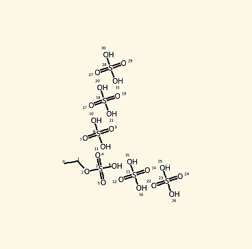 CCOS(=O)(=O)O.O=S(=O)(O)O.O=S(=O)(O)O.O=S(=O)(O)O.O=S(=O)(O)O.O=S(=O)(O)O